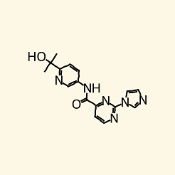 CC(C)(O)c1ccc(NC(=O)c2ccnc(-n3ccnc3)n2)cn1